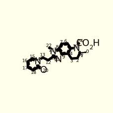 C[C@H]1CCc2c(ccc3c2nc(CCn2ccccc2=O)n3C)N1C(=O)O